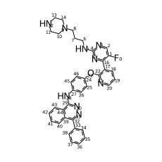 Fc1cnc(NCCCN2CCNCC2)nc1-c1cccnc1Oc1ccc(Nc2nnc(-c3ccccc3)c3ccccc23)cc1